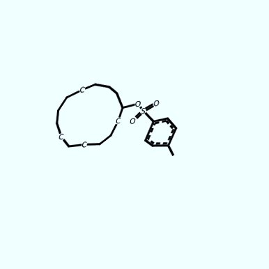 Cc1ccc(S(=O)(=O)OC2CCCCCCCCCCCCC2)cc1